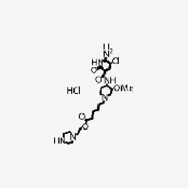 CO[C@H]1CN(CCCCCC(=O)OCCN2CCNCC2)CC[C@H]1NC(=O)c1cc(Cl)c(N)[nH]c1=O.Cl